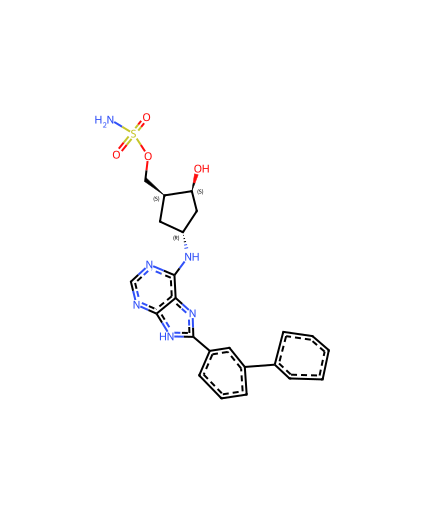 NS(=O)(=O)OC[C@@H]1C[C@@H](Nc2ncnc3[nH]c(-c4cccc(-c5ccccc5)c4)nc23)C[C@@H]1O